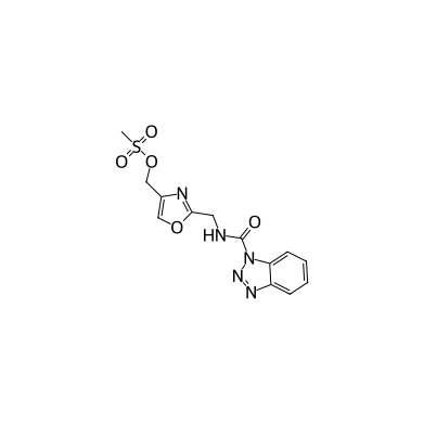 CS(=O)(=O)OCc1coc(CNC(=O)n2nnc3ccccc32)n1